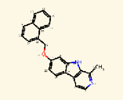 Cc1nccc2c1[nH]c1cc(OCc3cccc4ccccc34)ccc12